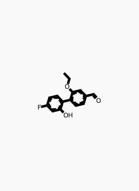 CCOc1cc(C=O)ccc1-c1ccc(F)cc1O